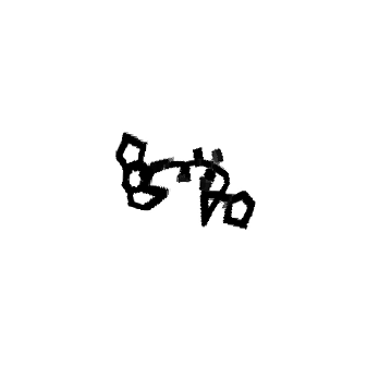 O=C(Nc1c2c(cc3c1CCC3)CCC2)NS(=O)(=O)CC1(N2CCCC2)CC1